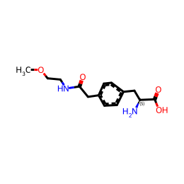 COCCNC(=O)Cc1ccc(C[C@H](N)C(=O)O)cc1